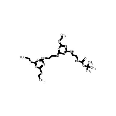 CCSc1nc(NCCNC(=O)OC(C)(C)C)nc(NCCNc2nc(SCC)nc(SCC)n2)n1